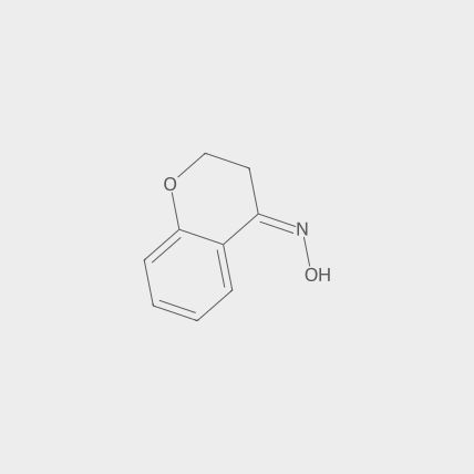 O/N=C1/CCOc2ccccc21